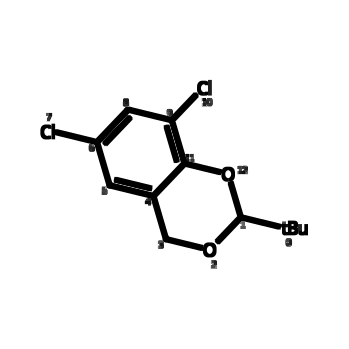 CC(C)(C)C1OCc2cc(Cl)cc(Cl)c2O1